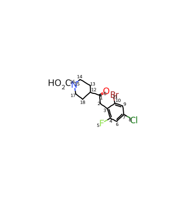 O=C(Cc1c(F)cc(Cl)cc1Br)C1CCN(C(=O)O)CC1